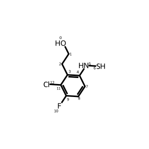 OCCc1c(NS)ccc(F)c1Cl